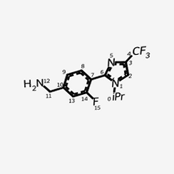 CC(C)n1cc(C(F)(F)F)nc1-c1ccc(CN)cc1F